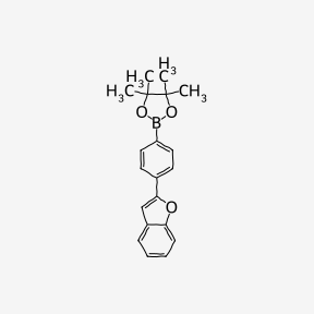 CC1(C)OB(c2ccc(-c3cc4ccccc4o3)cc2)OC1(C)C